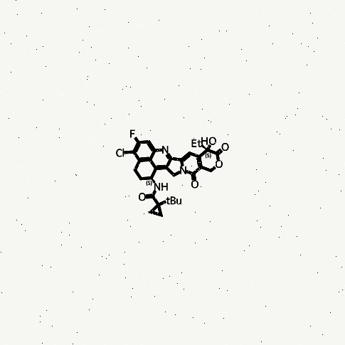 CC[C@@]1(O)C(=O)OCc2c1cc1n(c2=O)Cc2c-1nc1cc(F)c(Cl)c3c1c2[C@@H](NC(=O)C1(C(C)(C)C)CC1)CC3